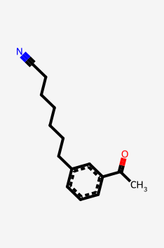 CC(=O)c1cccc(CCCCCCC#N)c1